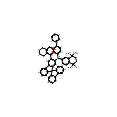 CC1(C)CCC(C)(C)c2cc(N(c3ccc(-c4ccccc4)cc3)c3cc4c(cc3-c3cccc5c3CCCC5)-c3ccccc3C43c4ccccc4-c4ccccc43)ccc21